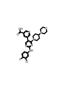 O=C(O)c1cncc(-c2cnc(Nc3ccc(F)c(Cl)c3)nc2N2CCC(N3CCOCC3)CC2)c1